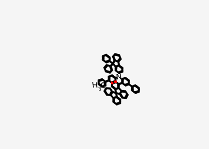 CC1C=CC2=C(C1)C1(c3ccccc32)c2ccccc2-c2c(-c3cc(-c4ccccc4)ccc3N(c3ccc(-c4ccccc4)cc3)c3ccc4c(c3)C(c3ccccc3)(c3ccccc3)c3ccccc3-4)cccc21